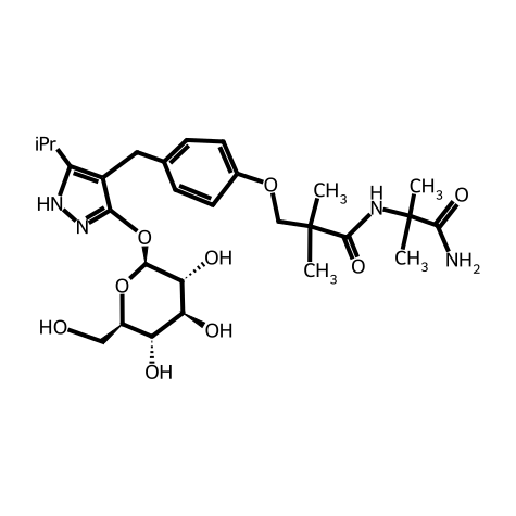 CC(C)c1[nH]nc(O[C@@H]2O[C@H](CO)[C@@H](O)[C@H](O)[C@H]2O)c1Cc1ccc(OCC(C)(C)C(=O)NC(C)(C)C(N)=O)cc1